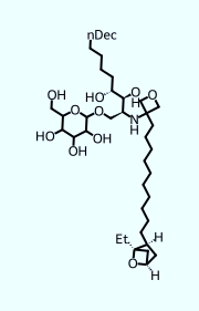 CCCCCCCCCCCCCC[C@@H](O)[C@@H](O)[C@H](COC1OC(CO)C(O)C(O)C1O)NC1(CCCCCCCCCC[C@H]2C[C@@H]3C[C@@]2(CC)O3)COC1